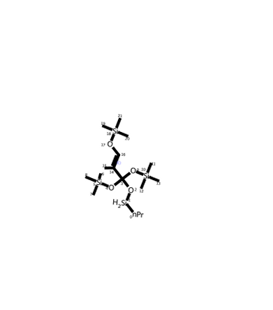 CCC[SiH2]OC(O[Si](C)(C)C)(O[Si](C)(C)C)/C(C)=C/O[Si](C)(C)C